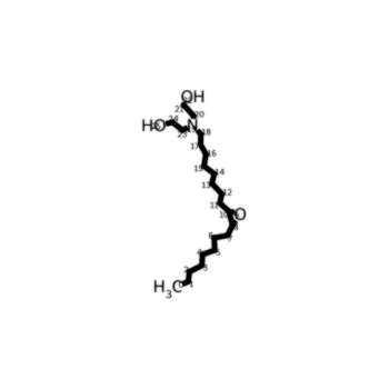 CCCCCCCCC1OC1CCCCCCCCN(CCO)CCO